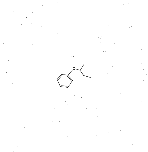 CCC(C)Oc1ccccc1